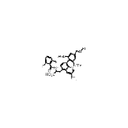 CCOCc1cc(OC)c(-c2ccc(CC(NC(=O)c3c(F)cccc3F)C(=O)O)c3cc(C(F)(F)F)cnc23)c(OC)c1